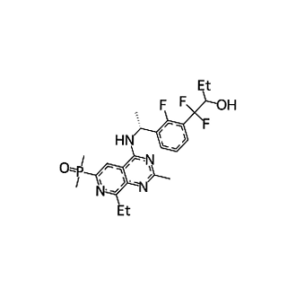 CCc1nc(P(C)(C)=O)cc2c(N[C@H](C)c3cccc(C(F)(F)C(O)CC)c3F)nc(C)nc12